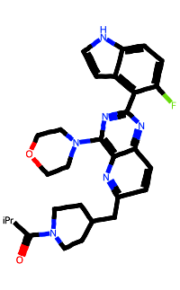 CC(C)C(=O)N1CCC(Cc2ccc3nc(-c4c(F)ccc5[nH]ccc45)nc(N4CCOCC4)c3n2)CC1